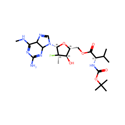 CNC1=NC(N)=NC2C1N=CN2[C@@H]1O[C@H](COC(=O)[C@@H](NC(=O)OC(C)(C)C)C(C)C)[C@@H](O)[C@@]1(C)F